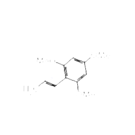 [CH2]/C=C/c1c(OC)cc(OC)cc1OC